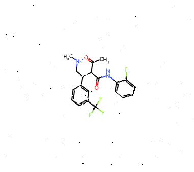 CNCC(c1cccc(C(F)(F)F)c1)C(C(C)=O)C(=O)Nc1ccccc1F